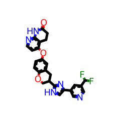 O=C1CCc2c(Oc3ccc4c(c3)CC(c3nc(-c5cncc(C(F)F)c5)c[nH]3)CO4)ccnc2N1